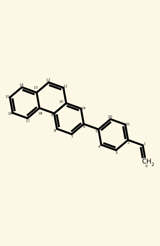 C=Cc1ccc(-c2ccc3c(ccc4ccccc43)c2)cc1